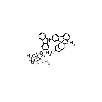 CC1CC2CC(C)C3(c4ccccc4-c4ccc(-n5c6ccccc6c6cc(B7OC(C)(C)C(C)(C)O7)ccc65)cc43)C(C1)C2